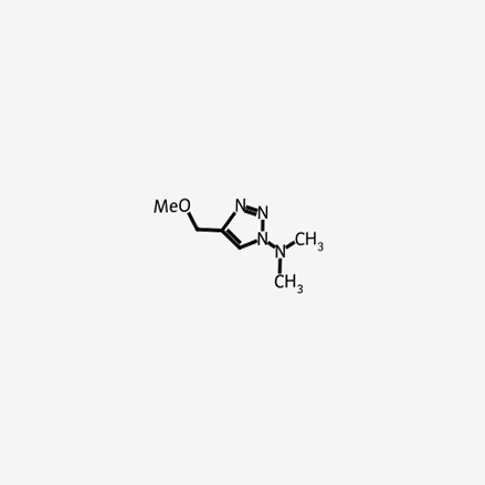 COCc1cn(N(C)C)nn1